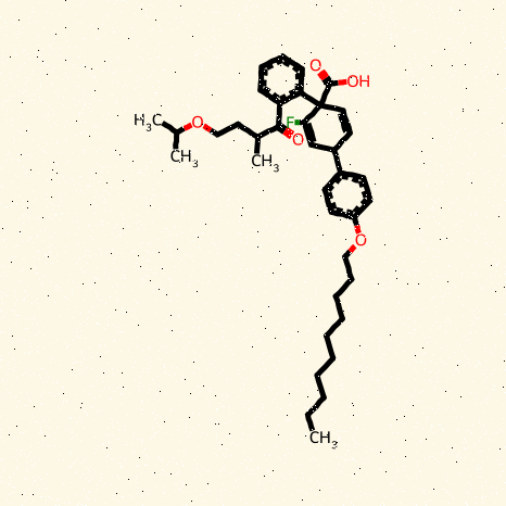 CCCCCCCCCCOc1ccc(C2C=CC(C(=O)O)(c3ccccc3C(=O)C(C)CCOC(C)C)C(F)=C2)cc1